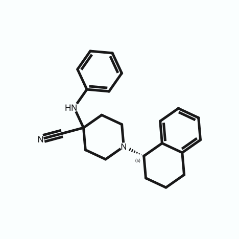 N#CC1(Nc2ccccc2)CCN([C@H]2CCCc3ccccc32)CC1